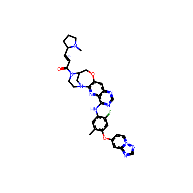 Cc1cc(Nc2ncnc3cc4c(nc23)N2CCN(C(=O)/C=C/C3CCCN3C)C(CO4)C2)c(F)cc1Oc1ccn2ncnc2c1